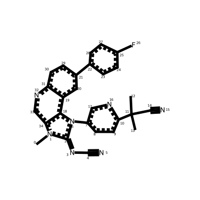 Cn1/c(=N/C#N)n(-c2ccc(C(C)(C)C#N)nc2)c2c3cc(-c4ccc(F)cc4)ccc3ncc21